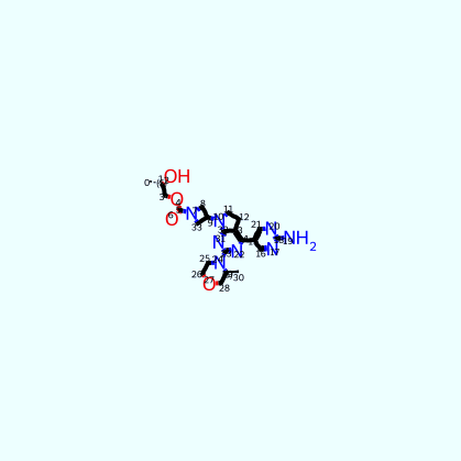 C[C@H](O)COC(=O)N1CC(N2CCc3c(-c4cnc(N)nc4)nc(N4CCOC[C@@H]4C)nc32)C1